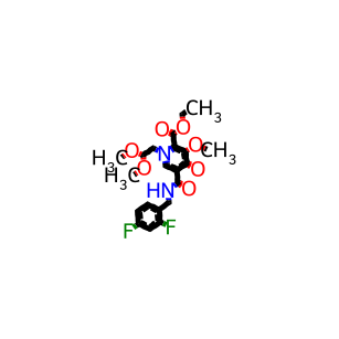 CCOC(=O)c1c(OC)c(=O)c(C(=O)NCc2ccc(F)cc2F)cn1CC(OC)OC